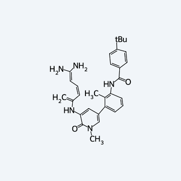 C=C(/C=C\C=C(N)N)Nc1cc(-c2cccc(NC(=O)c3ccc(C(C)(C)C)cc3)c2C)cn(C)c1=O